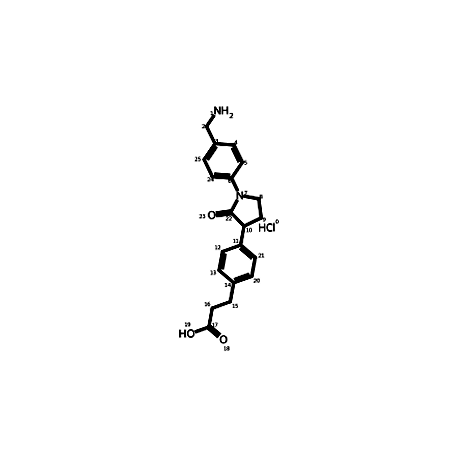 Cl.NCc1ccc(N2CCC(c3ccc(CCC(=O)O)cc3)C2=O)cc1